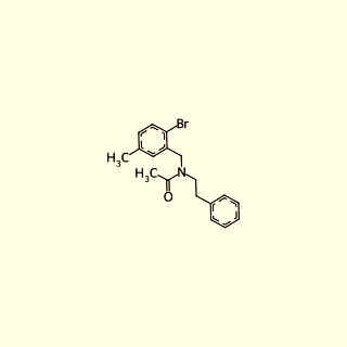 CC(=O)N(CCc1ccccc1)Cc1cc(C)ccc1Br